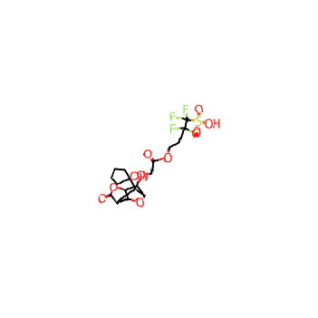 O=C(COC1C2OC(=O)C3C2OC1C3C1(O)CCCC1)OCCC(F)(F)C(F)(F)S(=O)(=O)O